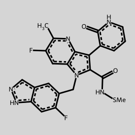 CSNC(=O)c1c(-c2ccc[nH]c2=O)c2nc(C)c(F)cc2n1Cc1cc2cn[nH]c2cc1F